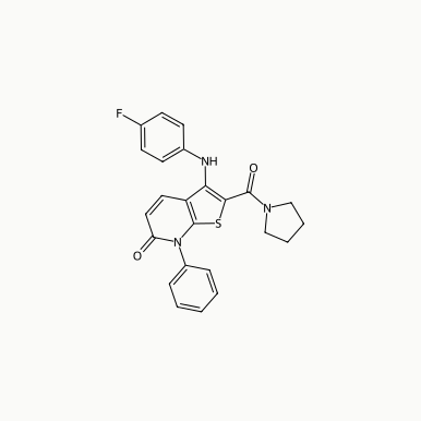 O=C(c1sc2c(ccc(=O)n2-c2ccccc2)c1Nc1ccc(F)cc1)N1CCCC1